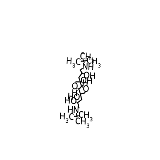 CC(C)(C)NCC(O)C[C@]1(O)CO[C@H]2[C@@H]1OC[C@]2(O)CC(O)CNC(C)(C)C